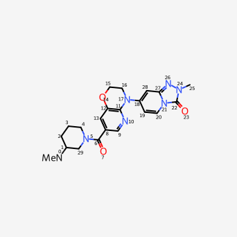 CNC1CCCN(C(=O)c2cnc3c(c2)OCCN3c2ccn3c(=O)n(C)nc3c2)C1